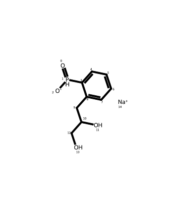 O=[PH]([O-])c1ccccc1CC(O)CO.[Na+]